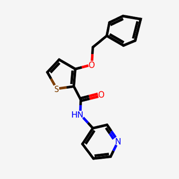 O=C(Nc1cccnc1)c1sccc1OCc1ccccc1